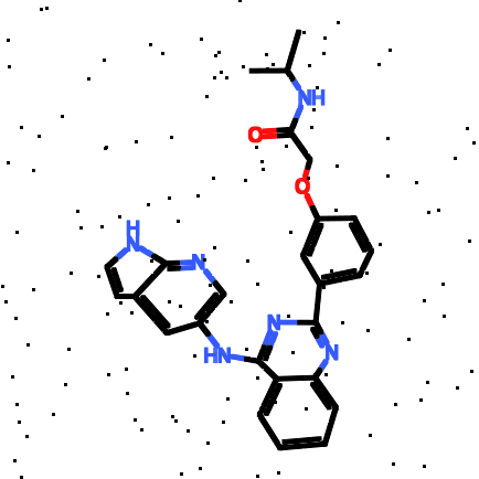 CC(C)NC(=O)COc1cccc(-c2nc(Nc3cnc4[nH]ccc4c3)c3ccccc3n2)c1